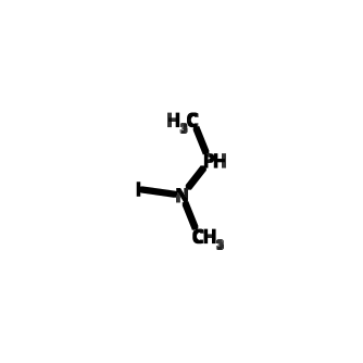 CPN(C)I